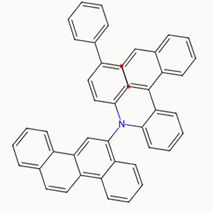 c1ccc(-c2ccc(N(c3ccccc3-c3cccc4ccccc34)c3cc4c5ccccc5ccc4c4ccccc34)cc2)cc1